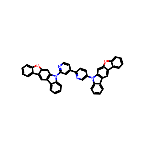 c1ccc2c(c1)oc1cc3c(cc12)c1ccccc1n3-c1ccc(-c2ccnc(-n3c4ccccc4c4cc5c(cc43)oc3ccccc35)c2)nc1